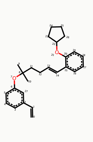 C=Cc1cccc(OC(C)(C)CC/C=C/c2ccccc2OC2CCCC2)c1